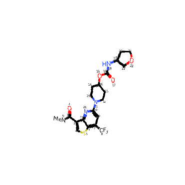 CNC(=O)c1csc2c(C(F)(F)F)cc(N3CCC(OC(=O)NC4CCOC4)CC3)nc12